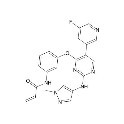 C=CC(=O)Nc1cccc(Oc2nc(Nc3cnn(C)c3)ncc2-c2cncc(F)c2)c1